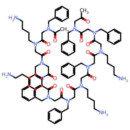 CC(=O)CN(Cc1ccccc1)C(=O)CN(Cc1ccccc1)C(=O)CN(CCCCN)C(=O)CN(Cc1ccccc1)C(=O)CN(CCCCN)C(=O)CN(Cc1ccccc1)C(=O)CN(Cc1ccccc1)C(=O)CN(CCCCN)C(=O)CN(Cc1ccccc1)C(=O)CN(CCCCN)C(=O)CN(Cc1ccccc1)C(C)=O